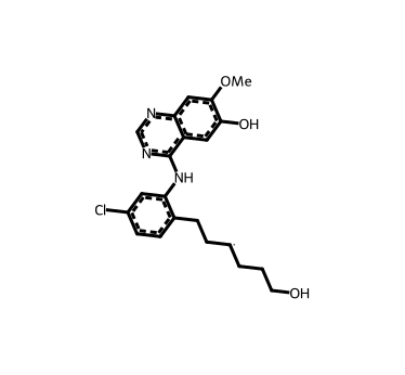 COc1cc2ncnc(Nc3cc(Cl)ccc3CC[CH]CCCO)c2cc1O